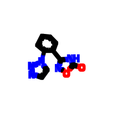 O=c1[nH]c(-c2ccccc2-n2ccnn2)no1